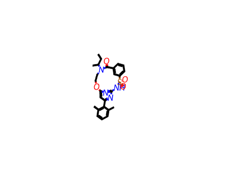 CCC(C)N1CCOc2cc(-c3c(C)cccc3C)nc(n2)NS(=O)(=O)c2cccc(c2)C1=O